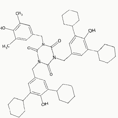 Cc1cc(Cn2c(=O)n(Cc3cc(C4CCCCC4)c(O)c(C4CCCCC4)c3)c(=O)n(Cc3cc(C4CCCCC4)c(O)c(C4CCCCC4)c3)c2=O)cc(C)c1O